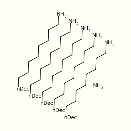 CCCCCCCCCCCCCCCCCCN.CCCCCCCCCCCCCCCCCCN.CCCCCCCCCCCCCCCCCCN.CCCCCCCCCCCCCCCCCCN.CCCCCCCCCCCCCCCCCCN.N